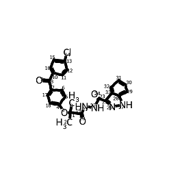 CC(C)(Oc1ccc(C(=O)c2ccc(Cl)cc2)cc1)C(=O)NNC(=O)c1n[nH]c2ccccc12